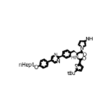 CCCCCCCOc1ccc(-c2cnc(-c3ccc(C[C@H](NC(=O)c4ccc(C(C)(C)C)s4)C(=O)N4CCC(=N)C4)cc3)nc2)cc1